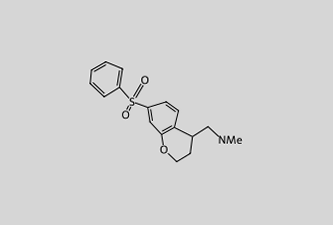 CNCC1CCOc2cc(S(=O)(=O)c3ccccc3)ccc21